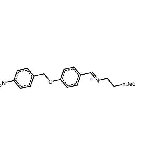 CCCCCCCCCCCC/N=C/c1ccc(OCc2ccc([N+](=O)[O-])cc2)cc1